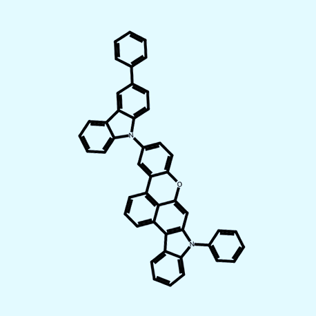 c1ccc(-c2ccc3c(c2)c2ccccc2n3-c2ccc3c(c2)-c2cccc4c2c(cc2c4c4ccccc4n2-c2ccccc2)O3)cc1